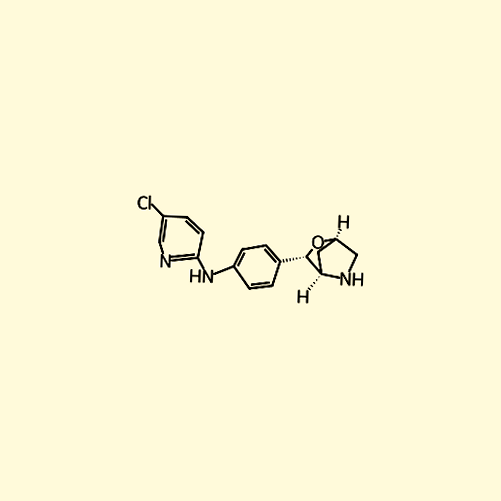 Clc1ccc(Nc2ccc([C@@H]3O[C@H]4CN[C@@H]3C4)cc2)nc1